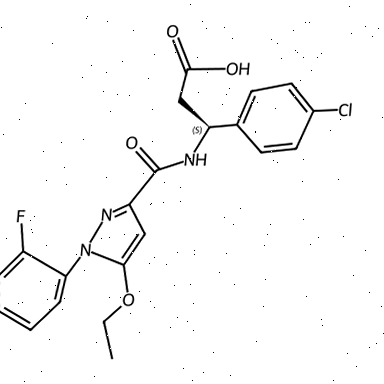 CCOc1cc(C(=O)N[C@@H](CC(=O)O)c2ccc(Cl)cc2)nn1-c1ccccc1F